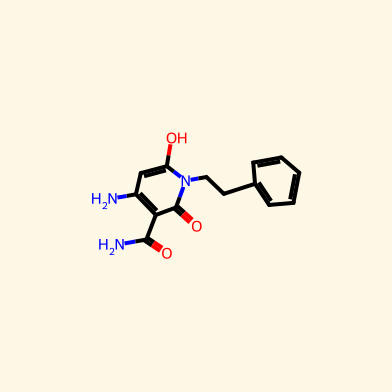 NC(=O)c1c(N)cc(O)n(CCc2ccccc2)c1=O